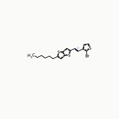 CCCCCCc1cc2sc(/C=C/c3ccsc3Br)cc2s1